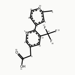 Cc1cc(-c2ncc(CC(=O)O)cc2C(F)(F)F)ccn1